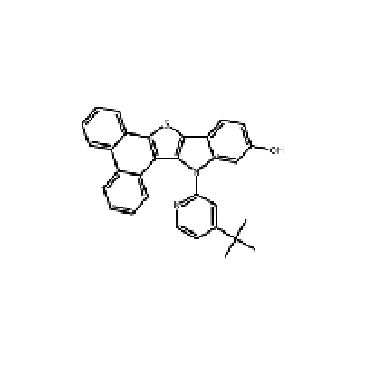 CC(C)(C)c1ccnc(-n2c3cc(O)ccc3c3sc4c5ccccc5c5ccccc5c4c32)c1